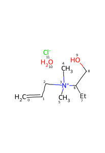 C=CC[N+](C)(C)C(CC)CO.O.[Cl-]